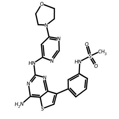 CS(=O)(=O)Nc1cccc(-c2csc3c(N)nc(Nc4cc(N5CCOCC5)ncn4)nc23)c1